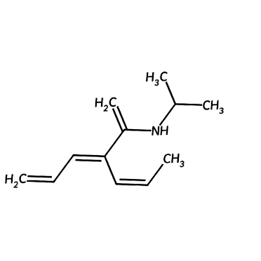 C=C/C=C(\C=C/C)C(=C)NC(C)C